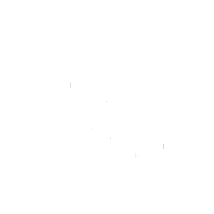 CCC(S)C(=O)OCC1OC(c2ccccc2Cl)c2cc(Cl)ccc2N(Cc2ccccc2)C1=O